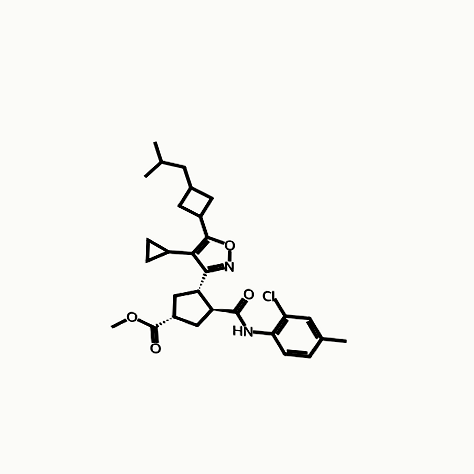 COC(=O)[C@H]1C[C@H](C(=O)Nc2ccc(C)cc2Cl)[C@@H](c2noc(C3CC(CC(C)C)C3)c2C2CC2)C1